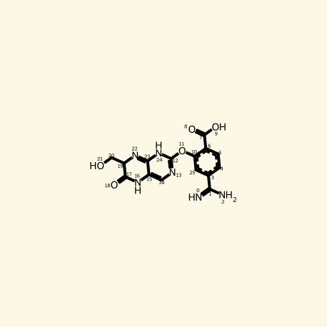 N=C(N)c1ccc(C(=O)O)c(OC2=NC=C3NC(=O)C(CO)N=C3N2)c1